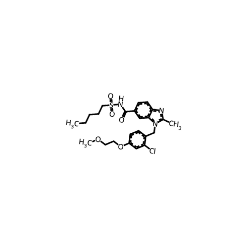 CCCCCS(=O)(=O)NC(=O)c1ccc2nc(C)n(Cc3ccc(OCCOC)cc3Cl)c2c1